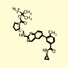 Cc1ccc(C(=O)NC2CC2)cc1-c1ccc2nc(NC[C@@H]3CCCN3C(=O)OC(C)(C)C)ncc2c1